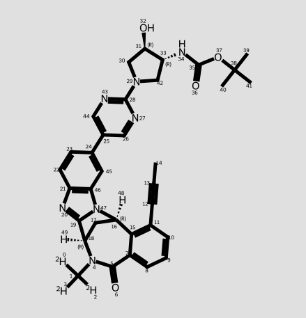 [2H]C([2H])([2H])N1C(=O)c2cccc(C#CC)c2[C@H]2C[C@@H]1c1nc3ccc(-c4cnc(N5C[C@@H](O)[C@H](NC(=O)OC(C)(C)C)C5)nc4)cc3n12